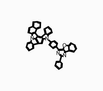 c1ccc(-c2nc(-c3ccc(-n4c5ccccc5c5c6c7c8ccccc8ccc7n7c8ccccc8c(cc54)c67)cc3)c3oc4ccccc4c3n2)cc1